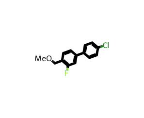 COCc1ccc(-c2ccc(Cl)cc2)cc1F